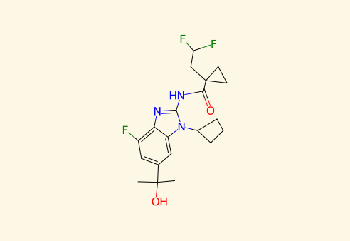 CC(C)(O)c1cc(F)c2nc(NC(=O)C3(CC(F)F)CC3)n(C3CCC3)c2c1